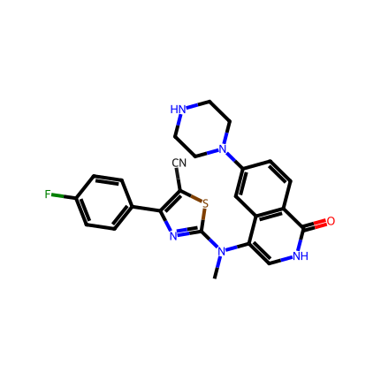 CN(c1nc(-c2ccc(F)cc2)c(C#N)s1)c1c[nH]c(=O)c2ccc(N3CCNCC3)cc12